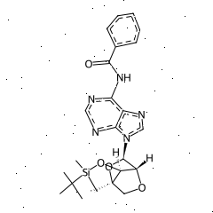 [CH2][C@]12CO[C@@H]([C@H](n3cnc4c(NC(=O)c5ccccc5)ncnc43)O1)[C@@H]2O[Si](C)(C)C(C)(C)C